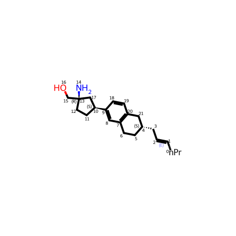 CCC/C=C/C[C@@H]1CCc2cc([C@H]3CC[C@](N)(CO)C3)ccc2C1